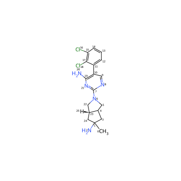 CC1(N)CC2CN(c3ncc(-c4cccc(Cl)c4Cl)c(N)n3)C[C@H]2C1